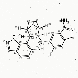 NC1=NCc2cc(F)c([C@@H]3Nc4ccc5cn[nH]c5c4[C@H]4[C@@H]5CC[C@@H](C5)[C@H]43)cc21